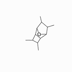 CC1C(C)C2OC1C1C(C)C(C)C21